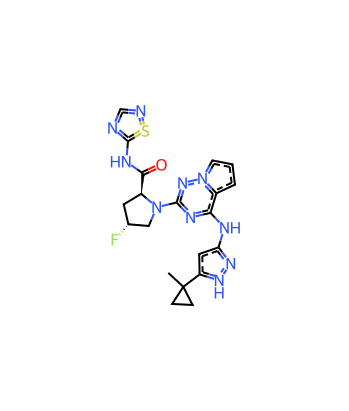 CC1(c2cc(Nc3nc(N4C[C@H](F)C[C@H]4C(=O)Nc4ncns4)nn4cccc34)n[nH]2)CC1